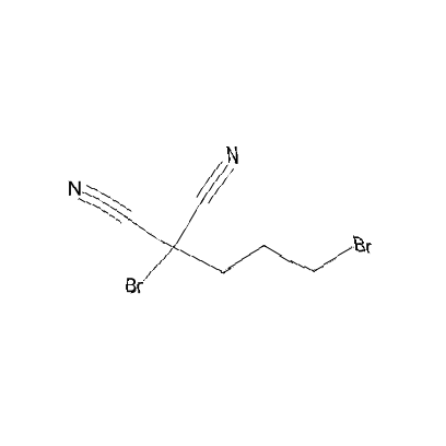 N#CC(Br)(C#N)CCCBr